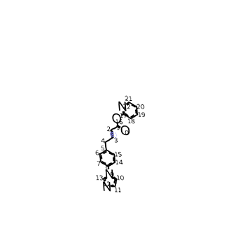 O=C(/C=C/Cc1ccc(-n2ccnc2)cc1)Oc1ccccn1